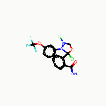 NC(=O)c1ccccc1C1(Cl)OCN(Cl)N1c1cccc(OC(F)(F)F)c1